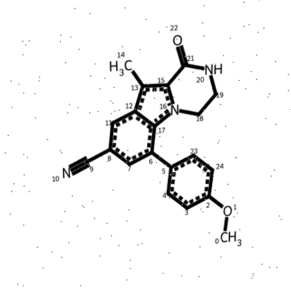 COc1ccc(-c2cc(C#N)cc3c(C)c4n(c23)CCNC4=O)cc1